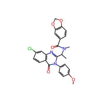 COc1ccc(-n2c(C(C)N(C)C(=O)c3ccc4c(c3)OCO4)nc3cc(Cl)ccc3c2=O)cc1